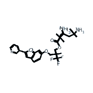 CC(C)(N)CC(N)C(C)(C)C(=O)OCC(C)(COc1ccc2cc(-c3cccnc3)oc2c1)C(F)(F)F